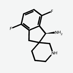 N[C@@H]1c2c(F)ccc(F)c2CC12CCCNC2